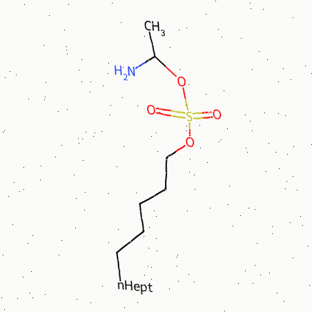 CCCCCCCCCCCCOS(=O)(=O)OC(C)N